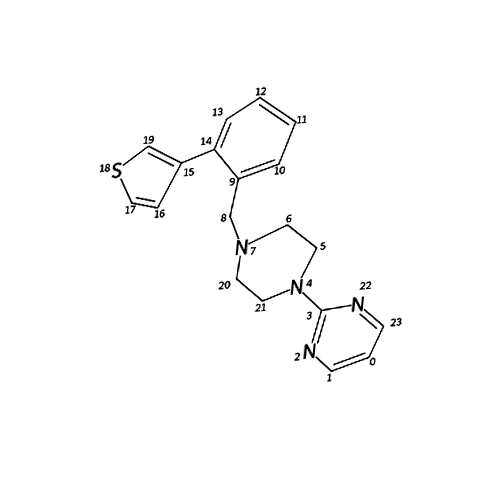 c1cnc(N2CCN(Cc3ccccc3-c3ccsc3)CC2)nc1